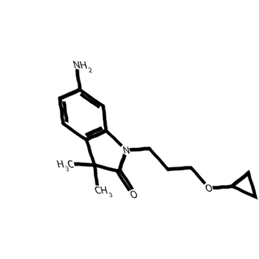 CC1(C)C(=O)N(CCCOC2CC2)c2cc(N)ccc21